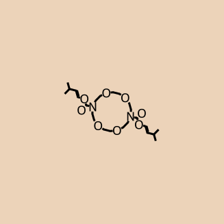 CC(C)C=COC(=O)N1CCOCCOCCN(C(=O)OC=CC(C)C)CCOCCOCC1